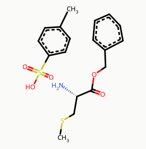 CSC[C@H](N)C(=O)OCc1ccccc1.Cc1ccc(S(=O)(=O)O)cc1